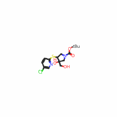 CC(C)(C)OC(=O)N1CC(Sc2ccc(Cl)cn2)C(O)(CO)C1